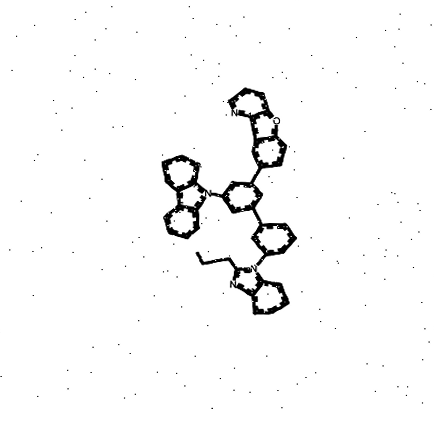 CCCc1nc2ccccc2n1-c1cccc(-c2cc(-c3ccc4oc5cccnc5c4c3)cc(-n3c4ccccc4c4ccccc43)c2)c1